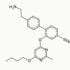 CCCCOc1cc(Oc2cc(C#N)ccc2-c2ccc(CCN)cc2)nc(C)n1